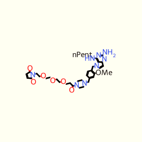 CCCCCNc1nc(N)nc2ccn(Cc3ccc(CN4CCN(C(=O)CCOCCOCCOCCN5C(=O)C=CC5=O)CC4)cc3OC)c12